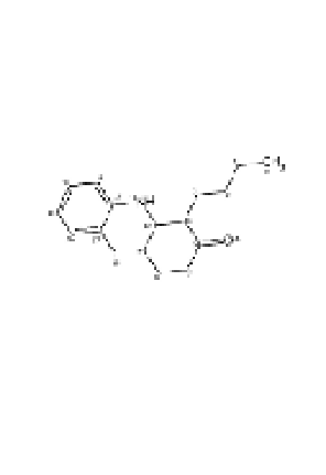 CCCCC1C(=O)CCCC1Nc1ccccc1I